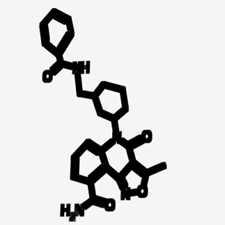 Cc1onc2c1c(=O)n(C1CCCC(CNC(=O)c3ccccc3)C1)c1cccc(C(N)=O)c21